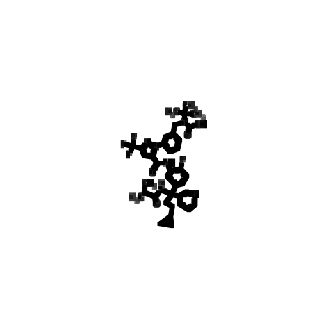 CC(C)C(=O)NC(CCC1CC1)(c1cccnc1)c1ccc(F)c(NC(=O)c2cc(C(F)(F)F)nn2-c2cccc(CN(C(=O)O)C(C)(C)C)c2)c1